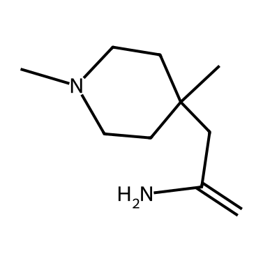 C=C(N)CC1(C)CCN(C)CC1